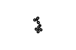 c1ccc(C2(c3ccccc3)c3ccccc3-c3c2ccc2c3ccn2-c2ccc(-n3c4ccccc4c4ccccc43)cc2)cc1